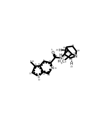 C[C@H]1[C@H](NC(=O)c2cc3c(I)csc3cn2)C2CCN1CC2